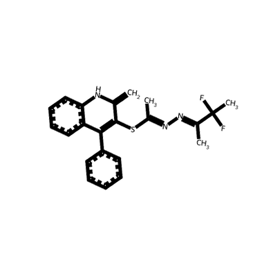 C=C1Nc2ccccc2C(c2ccccc2)=C1S/C(C)=N/N=C(\C)C(C)(F)F